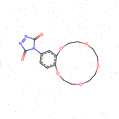 O=C1N=NC(=O)N1c1ccc2c(c1)OCCOCCOCCOCCO2